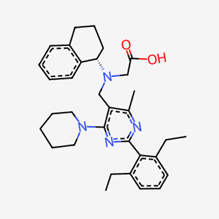 CCc1cccc(CC)c1-c1nc(C)c(CN(CC(=O)O)[C@H]2CCCc3ccccc32)c(N2CCCCC2)n1